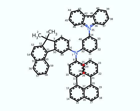 CC1(C)c2ccc(N(c3ccc(-c4cccc5cccc(-c6ccccc6)c45)cc3)c3cccc(-n4c5ccccc5c5ccccc54)c3)cc2-c2c1ccc1ccccc21